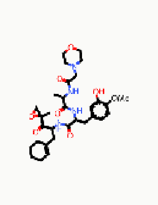 COc1ccc(CC(NC(=O)C(C)NC(=O)CN2CCOCC2)C(=O)NC(CC2=CCCCC2)C(=O)C2(C)CO2)cc1O